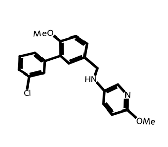 COc1ccc(NCc2ccc(OC)c(-c3cccc(Cl)c3)c2)cn1